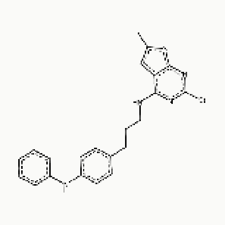 CCc1nc(NCCCc2ccc(Nc3ccccc3)cc2)c2cc(C)sc2n1